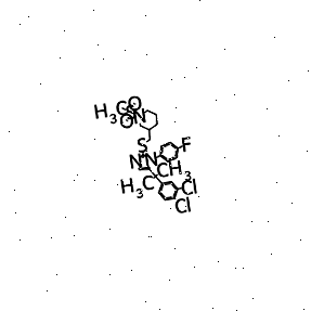 CC(C)(c1ccc(Cl)c(Cl)c1)c1cnc(SCC2CCCN(S(C)(=O)=O)C2)n1-c1ccc(F)cc1